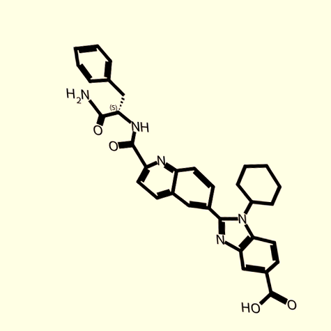 NC(=O)[C@H](Cc1ccccc1)NC(=O)c1ccc2cc(-c3nc4cc(C(=O)O)ccc4n3C3CCCCC3)ccc2n1